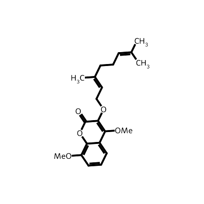 COc1c(OC/C=C(\C)CCC=C(C)C)c(=O)oc2c(OC)cccc12